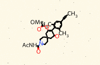 CC#Cc1cc(C)c(C2=C(OC(=O)OC)CC3(CCN(C(=O)NC(C)=O)CC3)CC2=O)c(C)c1